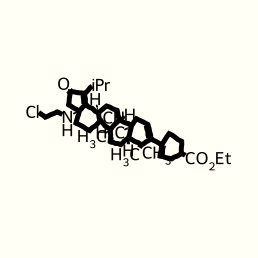 CCOC(=O)C1CC=C(C2=CC[C@]3(C)[C@H]4CC[C@@H]5C6=C(C(C)C)C(=O)C[C@]6(NCCCl)CC[C@@]5(C)[C@]4(C)CC[C@H]3C2(C)C)CC1